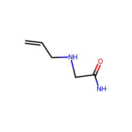 C=CCNCC([NH])=O